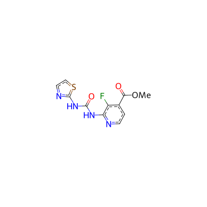 COC(=O)c1ccnc(NC(=O)Nc2nccs2)c1F